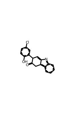 O=C1CC2=c3ccccc3=NC2=CC1c1cc(Cl)ccc1O